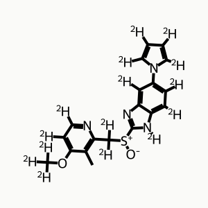 [2H]c1nc(C([2H])([2H])[S+]([O-])c2nc3c([2H])c(-n4c([2H])c([2H])c([2H])c4[2H])c([2H])c([2H])c3n2[2H])c(C)c(OC([2H])([2H])[2H])c1[2H]